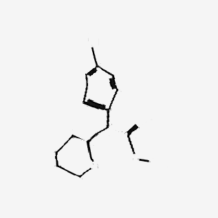 COC(=O)[C@@H](c1ccc(C)cc1)[C@@H]1CCCCN1